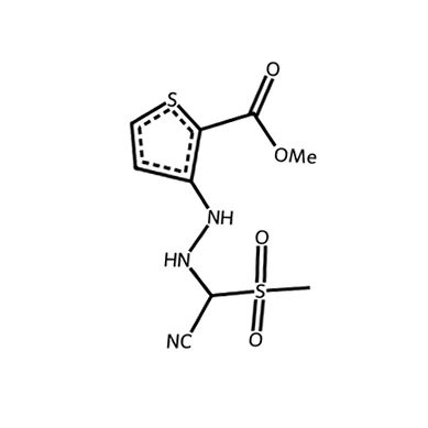 COC(=O)c1sccc1NNC(C#N)S(C)(=O)=O